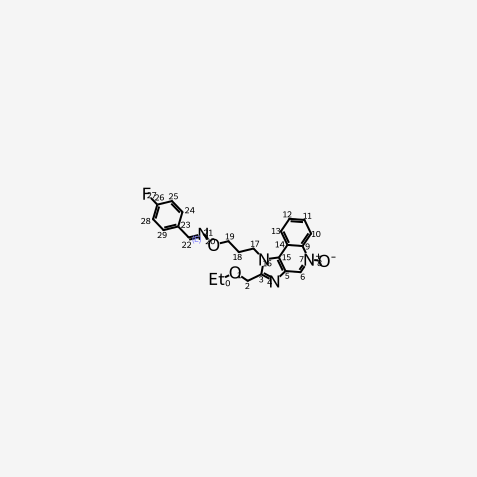 CCOCc1nc2c[n+]([O-])c3ccccc3c2n1CCCO/N=C/c1ccc(F)cc1